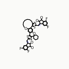 O=C1C(=O)c2c(F)cc(F)cc2/C1=C/c1nc2c(s1)-c1cc3c(cc1OCCCCCCC2)-c1sc(/C=C2\C(=O)C(=O)c4c(F)cc(F)cc42)nc1C1(CCCCC1)O3